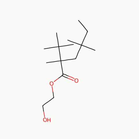 CCC(C)(C)CC(C)(C(=O)OCCO)C(C)(C)C